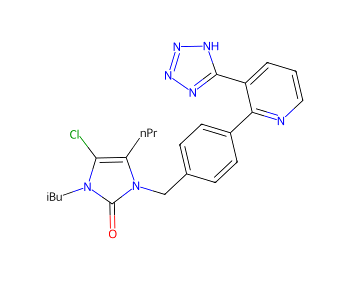 CCCc1c(Cl)n(C(C)CC)c(=O)n1Cc1ccc(-c2ncccc2-c2nnn[nH]2)cc1